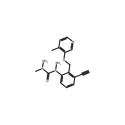 C#Cc1cccc(N(N)C(=O)N(C)N)c1COc1cnccc1C